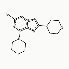 Brc1cn2nc(C3CCOCC3)nc2c(N2CCOCC2)n1